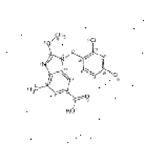 COc1nc2c(C)cc(C(=O)O)cc2n1Cc1ccc(Cl)cc1Cl